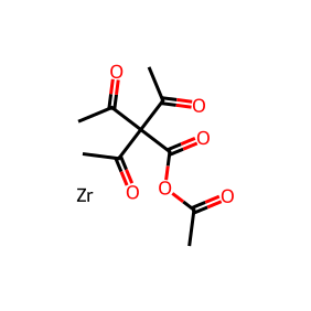 CC(=O)OC(=O)C(C(C)=O)(C(C)=O)C(C)=O.[Zr]